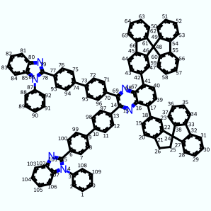 c1ccc(-n2c(-c3ccc(-c4ccc(-c5nc6c(-c7ccc8c(c7)C7(CC8)c8ccccc8-c8ccccc87)ccc(-c7ccc8c(c7)C7(c9ccccc9-c9ccccc97)c7ccccc7-8)c6nc5-c5ccc(-c6ccc(-c7nc8ccccc8n7-c7ccccc7)cc6)cc5)cc4)cc3)nc3ccccc32)cc1